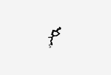 C=CCC1CCC(C(C)CCC=S)CC1